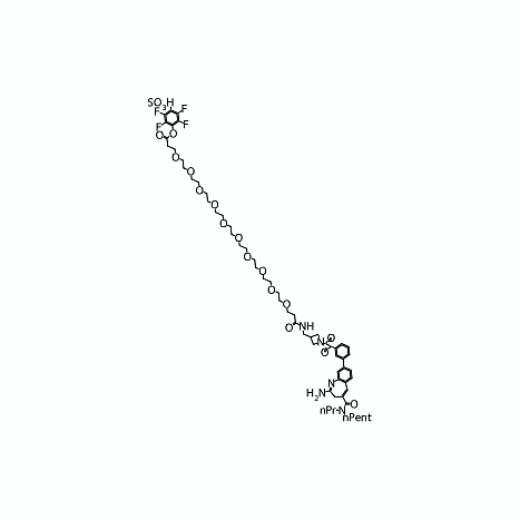 CCCCCN(CCC)C(=O)C1=Cc2ccc(-c3cccc(S(=O)(=O)N4CC(CNC(=O)CCOCCOCCOCCOCCOCCOCCOCCOCCOCCOCCC(=O)Oc5c(F)c(F)c(S(=O)(=O)O)c(F)c5F)C4)c3)cc2N=C(N)C1